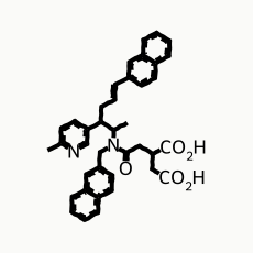 Cc1ccc(C(C/C=C/c2ccc3ccccc3c2)C(C)N(Cc2ccc3ccccc3c2)C(=O)CC(CC(=O)O)C(=O)O)cn1